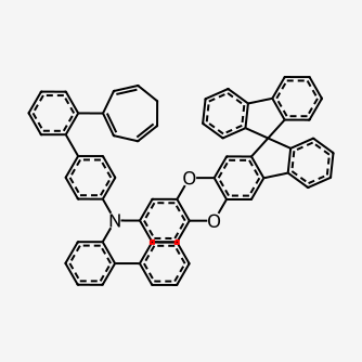 C1=CCC=CC(c2ccccc2-c2ccc(N(c3ccc4c(c3)Oc3cc5c(cc3O4)-c3ccccc3C53c4ccccc4-c4ccccc43)c3ccccc3-c3ccccc3)cc2)=C1